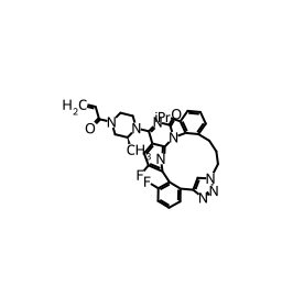 C=CC(=O)N1CCN(c2nc(=O)n3c4nc(c(F)cc24)-c2c(F)cccc2-c2cn(nn2)CCCc2cccc(C(C)C)c2-3)[C@@H](C)C1